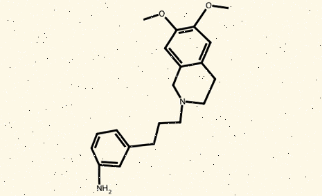 COc1cc2c(cc1OC)CN(CCCc1cccc(N)c1)CC2